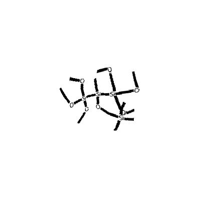 CO[Si](OC)(OC)[Si](C)(O[Si](C)(C)C)[Si](OC)(OC)OC